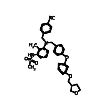 [C-]#[N+]c1ccc(CN(Cc2ccc(Oc3cccc(OCC4CCOC4)c3)cc2)c2cccc(NS(C)(=O)=O)c2C)cc1